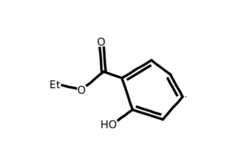 CCOC(=O)c1cc[c]cc1O